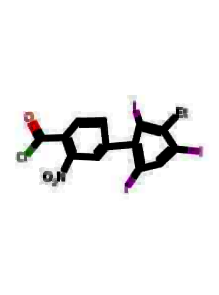 CCc1c(I)cc(I)c(-c2ccc(C(=O)Cl)c([N+](=O)[O-])c2)c1I